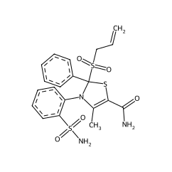 C=CCS(=O)(=O)C1(c2ccccc2)SC(C(N)=O)=C(C)N1c1ccccc1S(N)(=O)=O